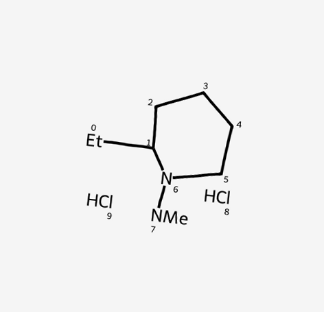 CCC1CCCCN1NC.Cl.Cl